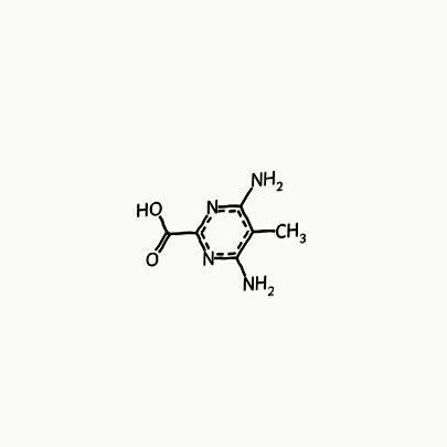 Cc1c(N)nc(C(=O)O)nc1N